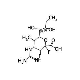 CC[C@@H](O)[C@@H](O)C1OC(F)(C(=O)O)C(F)C(NC(=N)N)C1C